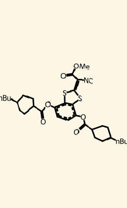 [C-]#[N+]C(C(=O)OC)=C1Sc2c(OC(=O)C3CCC(CCCC)CC3)ccc(OC(=O)C3CCC(CCCC)CC3)c2S1